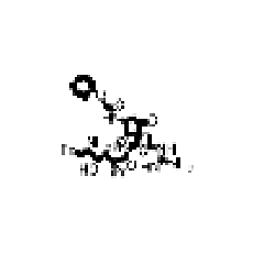 CC(C)C[C@H](N)[C@@H](O)CC(C(=O)NC(=O)[C@@]1(CCNC(=N)N)C(=O)C[C@H](NC(=O)COc2ccccc2)C1=O)C(C)C